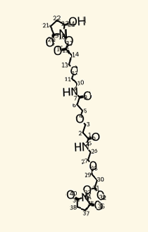 O=C(CCOCCC(=O)NCCOCCC(=O)ON1C(=O)CCC1O)NCCOCCC(=O)ON1C(=O)CCC1=O